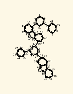 c1ccc(-c2cccc(-c3cccc4sc5c(-c6nc(-c7ccccc7)nc(-c7ccc8c(c7)oc7ccccc78)n6)cccc5c34)c2)cc1